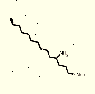 C=CCCCCCCCCC(N)CCCCCCCCCCCC